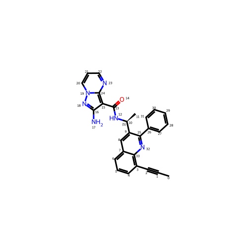 CC#Cc1cccc2cc([C@H](C)NC(=O)c3c(N)nn4cccnc34)c(-c3ccccc3)nc12